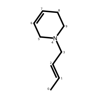 CC=CCN1CC=CCC1